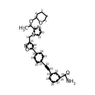 CC(OC1CCCCO1)c1nccn1Cc1cc(-c2ccc(C#Cc3cccc(C(N)=O)c3)cc2)on1